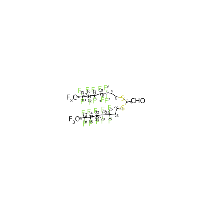 O=CC(SCCC(F)(F)C(F)(F)C(F)(F)C(F)(F)C(F)(F)C(F)(F)F)SCCC(F)(F)C(F)(F)C(F)(F)C(F)(F)C(F)(F)C(F)(F)F